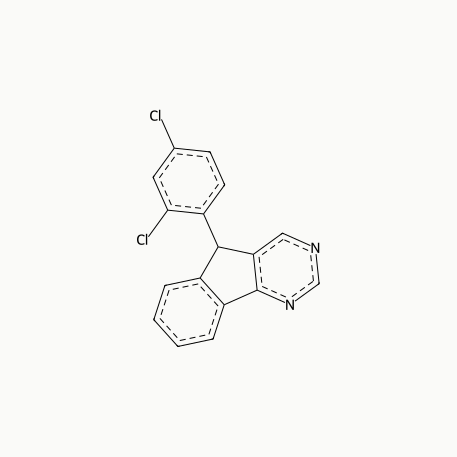 Clc1ccc(C2c3ccccc3-c3ncncc32)c(Cl)c1